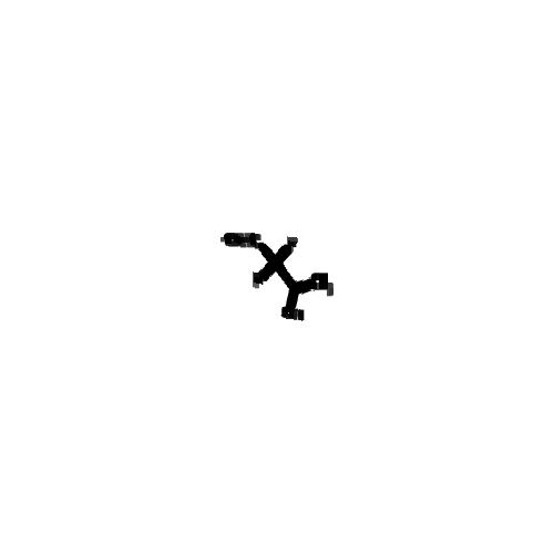 CC(O)C(F)(F)[C]=O